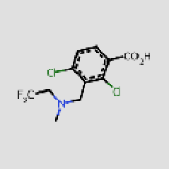 CN(Cc1c(Cl)ccc(C(=O)O)c1Cl)CC(F)(F)F